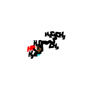 CC(C)CCCC(C)CCCC(C)CCCC(C)(F)C(Br)CO